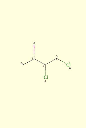 CC(I)C(Cl)[CH]Cl